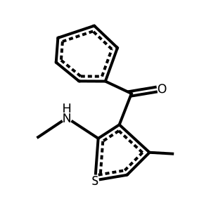 CNc1scc(C)c1C(=O)c1ccccc1